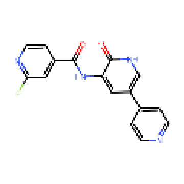 O=C(Nc1cc(-c2ccncc2)c[nH]c1=O)c1ccnc(F)c1